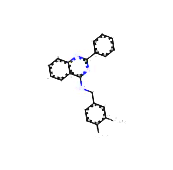 COc1ccc(CNc2nc(-c3ccccc3)nc3ccccc23)cc1OC